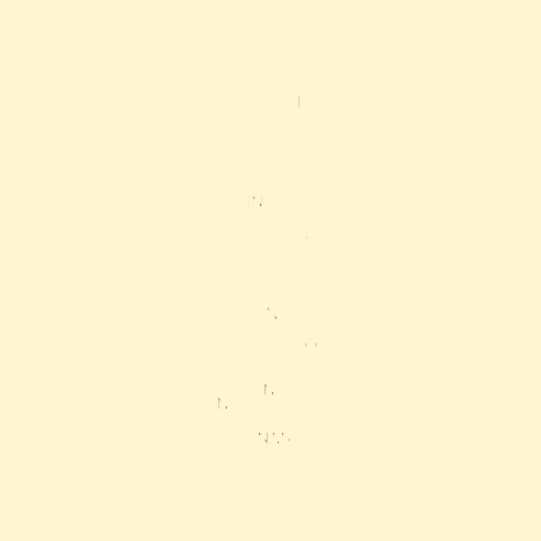 CNc1ncc2cc(-c3cc(NC(=O)c4cccc(O)c4)ccc3C)n(C)c(=O)c2n1